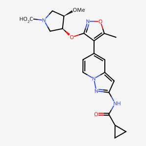 CO[C@@H]1CN(C(=O)O)C[C@@H]1Oc1noc(C)c1-c1ccn2nc(NC(=O)C3CC3)cc2c1